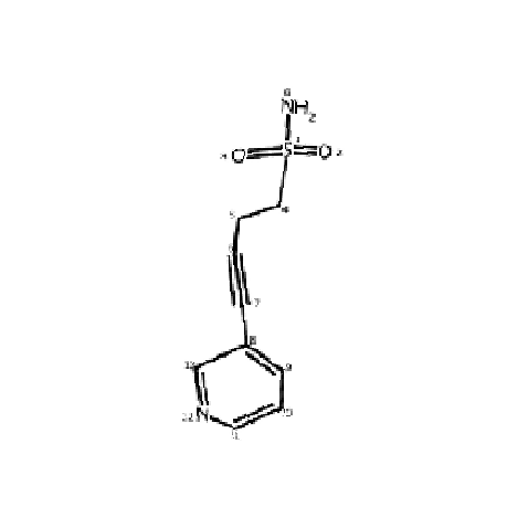 NS(=O)(=O)CCC#Cc1cccnc1